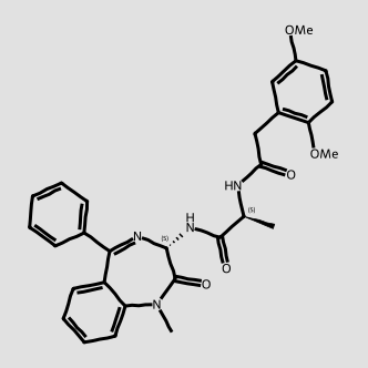 COc1ccc(OC)c(CC(=O)N[C@@H](C)C(=O)N[C@H]2N=C(c3ccccc3)c3ccccc3N(C)C2=O)c1